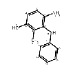 Cc1c(O)ccc(N)c1Nc1ccccc1